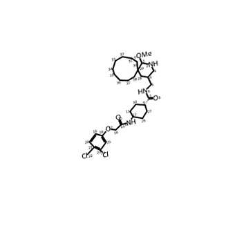 COC1NCC(CNC(=O)[C@H]2CC[C@H](NC(=O)COc3ccc(Cl)c(Cl)c3)CC2)CC12CCCCCCCCC2